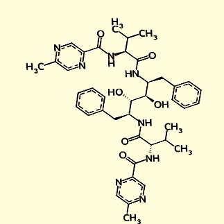 Cc1cnc(C(=O)N[C@H](C(=O)N[C@@H](Cc2ccccc2)[C@H](O)[C@H](O)[C@H](Cc2ccccc2)NC(=O)[C@@H](NC(=O)c2cnc(C)cn2)C(C)C)C(C)C)cn1